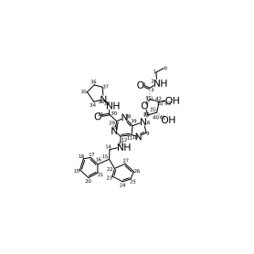 CCNC(=O)[C@H]1O[C@@H](n2cnc3c(NCC(c4ccccc4)c4ccccc4)nc(C(=O)NN4CCCC4)nc32)[C@@H](O)[C@@H]1O